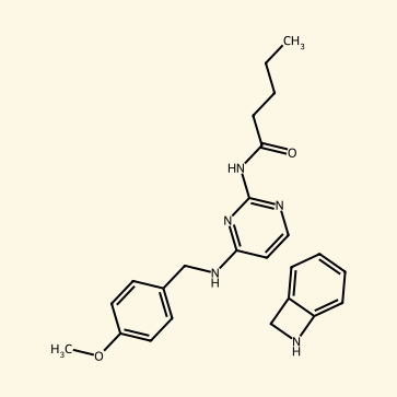 CCCCC(=O)Nc1nccc(NCc2ccc(OC)cc2)n1.c1ccc2c(c1)CN2